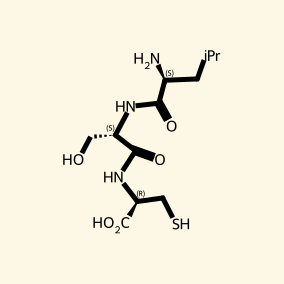 CC(C)C[C@H](N)C(=O)N[C@@H](CO)C(=O)N[C@@H](CS)C(=O)O